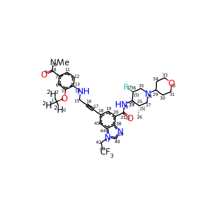 [2H]C([2H])([2H])Oc1cc(C(=O)NC)ccc1NCC#Cc1cc(C(=O)N[C@@H]2[C@@H](C)CN(C3CCOCC3)C[C@@H]2F)c2ncn(CC(F)(F)F)c2c1